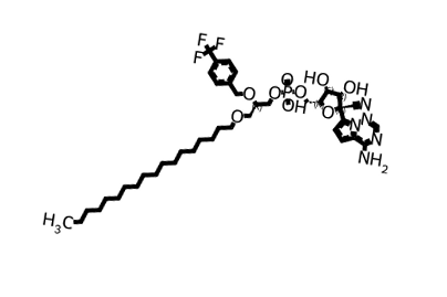 CCCCCCCCCCCCCCCCCCOC[C@H](COP(=O)(O)OC[C@H]1O[C@@](C#N)(c2ccc3c(N)ncnn23)[C@H](O)[C@@H]1O)OCc1ccc(C(F)(F)F)cc1